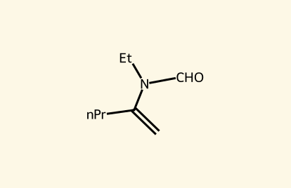 C=C(CCC)N(C=O)CC